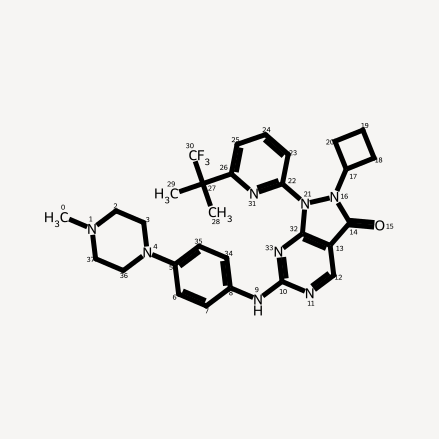 CN1CCN(c2ccc(Nc3ncc4c(=O)n(C5CCC5)n(-c5cccc(C(C)(C)C(F)(F)F)n5)c4n3)cc2)CC1